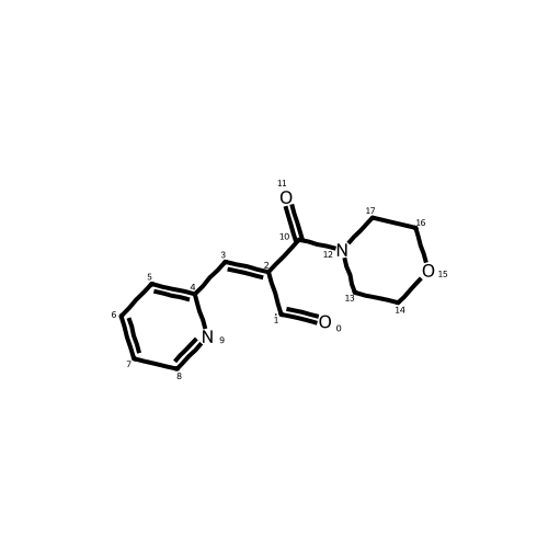 O=[C]/C(=C\c1ccccn1)C(=O)N1CCOCC1